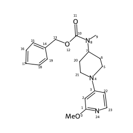 COc1cc(N2CCC(N(C)C(=O)OCc3ccccc3)CC2)ccn1